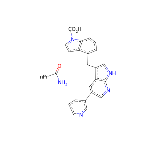 CCCC(N)=O.O=C(O)n1ccc2c(Cc3c[nH]c4ncc(-c5cccnc5)cc34)cccc21